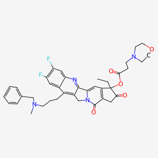 CCC1(OC(=O)CCN2CCOCC2)C(=O)Cc2c1cc1n(c2=O)Cc2c-1nc1cc(F)c(F)cc1c2CCCN(C)Cc1ccccc1